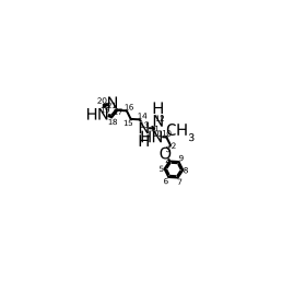 CC(COc1ccccc1)NC(=N)NCCCc1c[nH]cn1